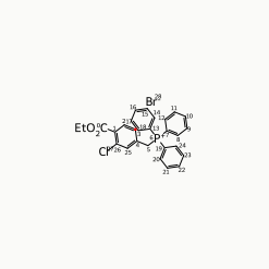 CCOC(=O)c1ccc(C[P+](c2ccccc2)(c2ccccc2)c2ccccc2)cc1Cl.[Br-]